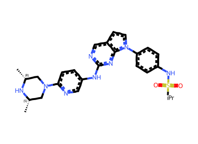 CC(C)S(=O)(=O)Nc1ccc(-n2ccc3cnc(Nc4ccc(N5C[C@@H](C)N[C@@H](C)C5)nc4)nc32)cc1